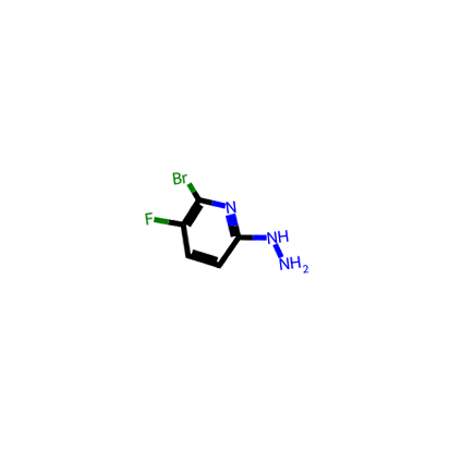 NNc1ccc(F)c(Br)n1